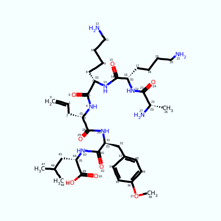 C=CC[C@H](NC(=O)[C@H](CCCCN)NC(=O)[C@H](CCCCN)NC(=O)[C@H](C)N)C(=O)N[C@@H](Cc1ccc(OC)cc1)C(=O)N[C@@H](CC(C)C)C(=O)O